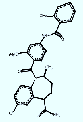 COc1cc(NC(=O)c2ccccc2Cl)ccc1C(=O)N1c2ccc(Cl)cc2C(C(N)=O)CCC1C